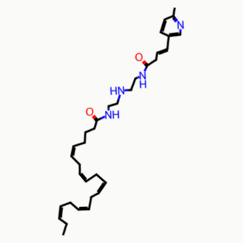 CC/C=C\C/C=C\C/C=C\C/C=C\C/C=C\CCCC(=O)NCCNCCNC(=O)C/C=C/c1ccc(C)nc1